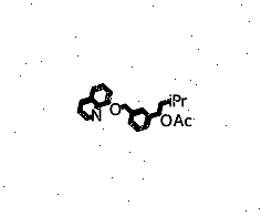 CC(=O)OC(CC(C)C)c1cccc(COc2cccc3cccnc23)c1